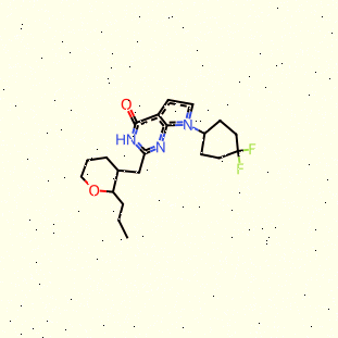 CCCC1OCCCC1Cc1nc2c(ccn2C2CCC(F)(F)CC2)c(=O)[nH]1